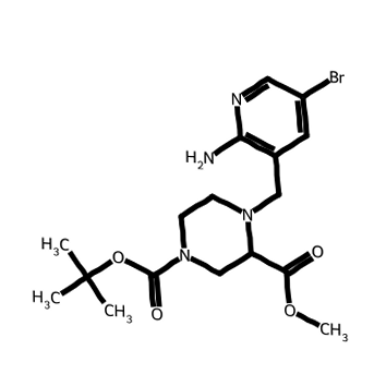 COC(=O)C1CN(C(=O)OC(C)(C)C)CCN1Cc1cc(Br)cnc1N